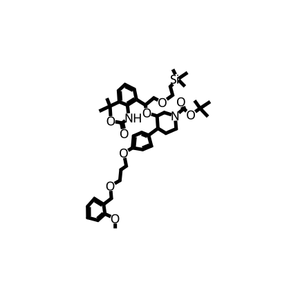 COc1ccccc1COCCCOc1ccc(C2CCN(C(=O)OC(C)(C)C)CC2OC(COCC[Si](C)(C)C)c2cccc3c2NC(=O)OC3(C)C)cc1